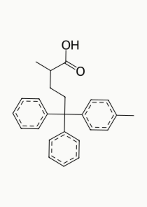 Cc1ccc(C(CCC(C)C(=O)O)(c2ccccc2)c2ccccc2)cc1